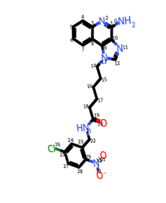 Nc1nc2ccccc2c2c1ncn2CCCCCC(=O)NCc1cc(Cl)ccc1[N+](=O)[O-]